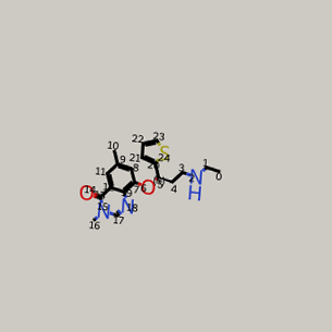 CCNCC[C@@H](Oc1cc(C)cc2c(=O)n(C)cnc12)c1cccs1